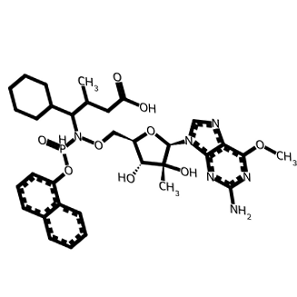 COc1nc(N)nc2c1ncn2[C@@H]1O[C@H](CON(C(C(C)CC(=O)O)C2CCCCC2)[PH](=O)Oc2cccc3ccccc23)[C@@H](O)[C@@]1(C)O